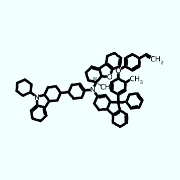 C=CC1C=CC(OC2C=CC(C3(C4C=CC=CC4)C4=C(CCC=C4)C4CCC(N(C5=CCC(C6CCC7C(C6)C6=CCCC=C6N7C6CCCCC6)CC5)[C@@]5(C)CCC=C6C7=C(C=CCC7)OC65)=CC43)=CC2C)=CC1